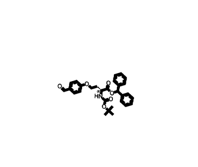 CC(C)(C)OC(=O)N[C@H](CCOc1ccc(C=O)cc1)C(=O)OC(c1ccccc1)c1ccccc1